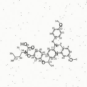 COc1ccc(CN(Cc2ccc(OC)cc2)c2cc3c(cn2)C(C)Oc2cc(ON(C(=O)O)[C@@H](C)CC(C)C)ccc2-3)cc1